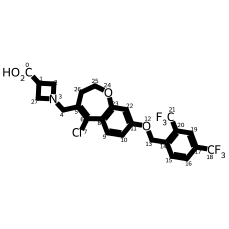 O=C(O)C1CN(CC2=C(Cl)c3ccc(OCc4ccc(C(F)(F)F)cc4C(F)(F)F)cc3OCC2)C1